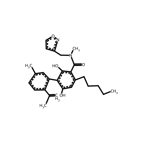 C=C(C)c1ccc(C)cc1-c1c(O)cc(CCCCC)c(C(=O)N(C)Cc2ccon2)c1O